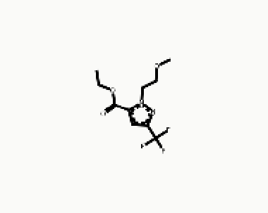 CCOC(=O)c1cc(C(F)(F)F)nn1CCOC